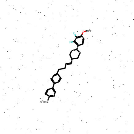 CCCCCc1ccc(-c2ccc(CC/C=C/C3CCC(c4ccc(OCCC)c(F)c4F)CC3)cc2)cc1